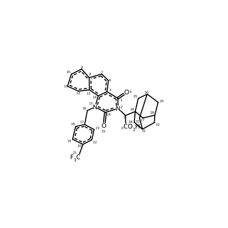 O=C(O)C(n1c(=O)c2ccc3ccccc3c2n(Cc2ccc(C(F)(F)F)cc2)c1=O)C12CC3CC(CC(C3)C1)C2